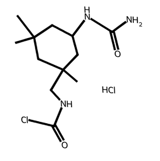 CC1(C)CC(NC(N)=O)CC(C)(CNC(=O)Cl)C1.Cl